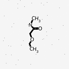 CCOCC(=O)[N]C